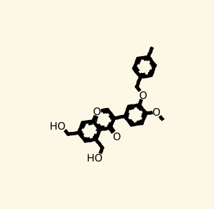 COc1ccc(-c2coc3cc(CO)cc(CO)c3c2=O)cc1OCc1ccc(C)cc1